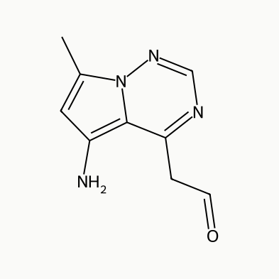 Cc1cc(N)c2c(CC=O)ncnn12